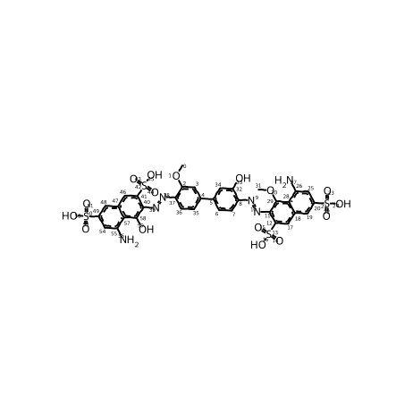 COc1cc(-c2ccc(N=Nc3c(S(=O)(=O)O)cc4cc(S(=O)(=O)O)cc(N)c4c3OC)c(O)c2)ccc1N=Nc1c(S(=O)(=O)O)cc2cc(S(=O)(=O)O)cc(N)c2c1O